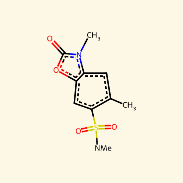 CNS(=O)(=O)c1cc2oc(=O)n(C)c2cc1C